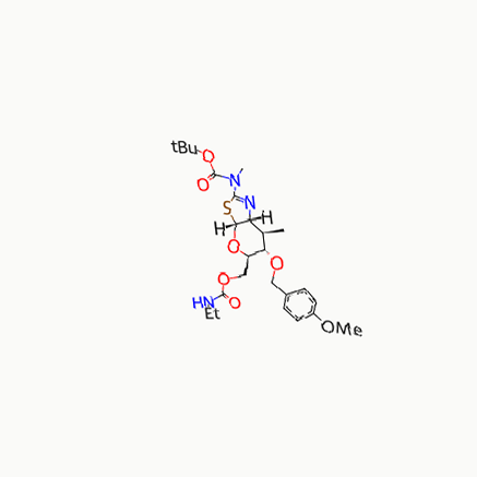 CCNC(=O)OC[C@H]1O[C@@H]2SC(N(C)C(=O)OC(C)(C)C)=N[C@@H]2[C@@H](C)[C@@H]1OCc1ccc(OC)cc1